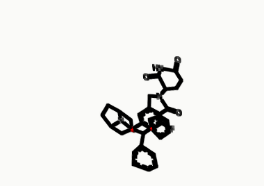 O=C1CCC(N2Cc3cc(CN4C5CCC4CN(C(c4ccccc4)c4ccccc4)C5)cc(F)c3C2=O)C(=O)N1